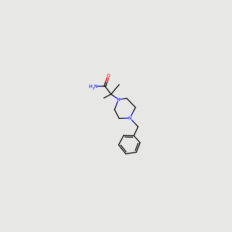 CC(C)(C(N)=O)N1CCN(Cc2ccccc2)CC1